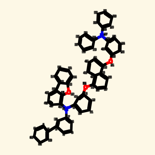 C1=CC(c2cccc(N(c3cccc(Oc4cccc5c(Oc6cccc(N(c7ccccc7)c7ccccc7)c6)cccc45)c3)c3cccc4c3oc3ccccc34)c2)=CCC1